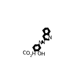 O=C(O)c1ccc(N=Nc2cnc3ccccc3c2)cc1O